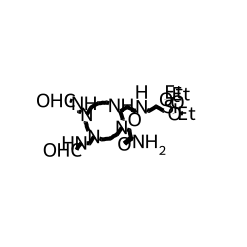 CCO[Si](CCCNC(=O)CC1CN(CC(N)=O)CCCN(CNC=O)CCN(CNC=O)CCCN1)(OCC)OCC